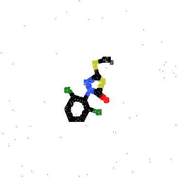 CSc1nn(-c2c(Cl)cccc2Cl)c(=O)s1